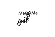 COc1ccc(C(=O)OCCNC2=NCc3ccccc32)cc1OC